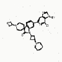 CC(C)n1cnc2cc(-c3ccc4c(c3)N(C3CC(N5CCCCC5)C3)C(=O)C43CCN(C4COC4)CC3)nc(Cl)c21